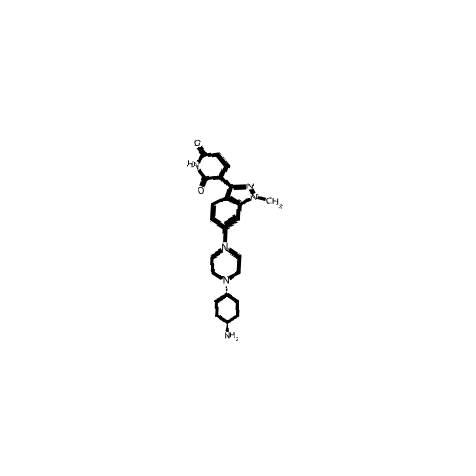 Cn1nc(C2CCC(=O)NC2=O)c2ccc(N3CCN([C@H]4CC[C@H](N)CC4)CC3)cc21